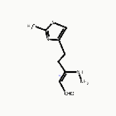 Cc1nc(CC/C(=C/C=O)NN)cs1